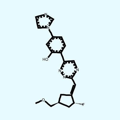 COC[C@H]1C/C(=C\c2ncc(-c3ccc(-n4ccnc4)cc3O)nn2)[C@H](F)C1